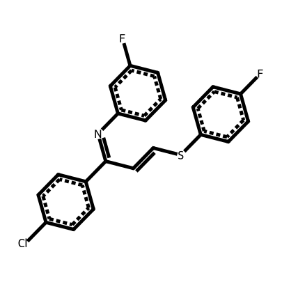 Fc1ccc(SC=CC(=Nc2cccc(F)c2)c2ccc(Cl)cc2)cc1